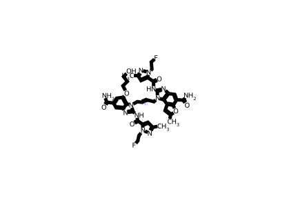 Cc1cc(C(=O)Nc2nc3cc(C(N)=O)cc(OCCCO)c3n2C/C=C/Cn2c(NC(=O)c3cc(C)nn3CCF)nc3cc(C(N)=O)c4oc(C)cc4c32)n(CCF)n1